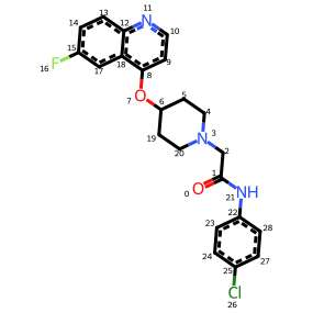 O=C(CN1CCC(Oc2ccnc3ccc(F)cc23)CC1)Nc1ccc(Cl)cc1